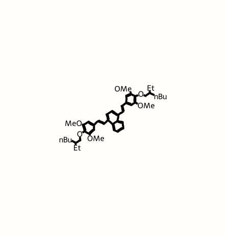 CCCCC(CC)COc1c(OC)cc(/C=C/c2ccc(/C=C/c3cc(OC)c(OCC(CC)CCCC)c(OC)c3)c3ccccc23)cc1OC